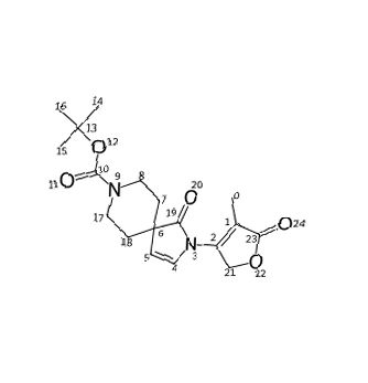 CC1=C(N2C=CC3(CCN(C(=O)OC(C)(C)C)CC3)C2=O)COC1=O